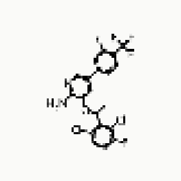 CC(Oc1cc(-c2ccc(C(F)(F)F)c(Cl)c2)cnc1N)c1c(Cl)ccc(F)c1Cl